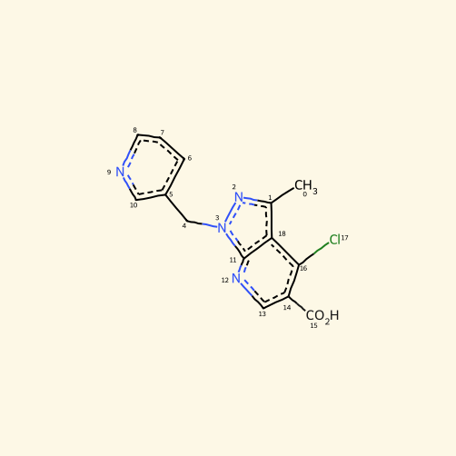 Cc1nn(Cc2cccnc2)c2ncc(C(=O)O)c(Cl)c12